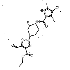 CCOC(=O)c1nc(N2CC[C@@H](NC(=O)c3[nH]c(C)c(Cl)c3Cl)[C@@H](F)C2)sc1C=O